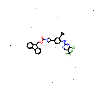 O=C(OCC1c2ccccc2-c2ccccc21)N1CC(c2ccc(Nc3ncc(C(F)(F)F)c(Cl)n3)c(C3CC3)c2)C1